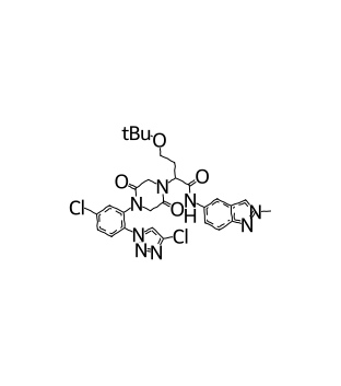 Cn1cc2cc(NC(=O)C(CCOC(C)(C)C)N3CC(=O)N(c4cc(Cl)ccc4-n4cc(Cl)nn4)CC3=O)ccc2n1